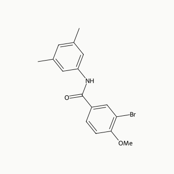 COc1ccc(C(=O)Nc2cc(C)cc(C)c2)cc1Br